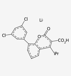 CC(C)c1c(C(=O)O)c(=O)oc2c(-c3cc(Cl)cc(Cl)c3)cccc12.[Li]